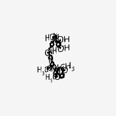 CCOc1cc(N2CCC(C(=O)NCc3ccc(-n4c(O)nnc4-c4ccc(O)cc4O)cc3)CC2)ccc1Nc1ncc2c(n1)N(S(C)(=O)=O)c1ccccc1C(=O)N2C